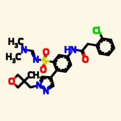 CN(C)C=NS(=O)(=O)c1cc(NC(=O)Cc2ccccc2Cl)ccc1-c1cnn(CC2(C)COC2)c1